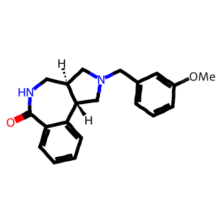 COc1cccc(CN2C[C@@H]3CNC(=O)c4ccccc4[C@H]3C2)c1